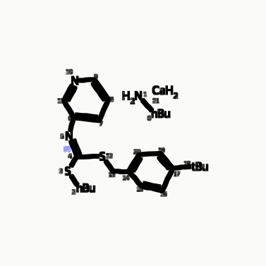 CCCCN.CCCCS/C(=N/c1cccnc1)SCc1ccc(C(C)(C)C)cc1.[CaH2]